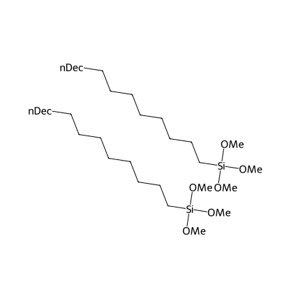 CCCCCCCCCCCCCCCCCC[Si](OC)(OC)OC.CCCCCCCCCCCCCCCCCC[Si](OC)(OC)OC